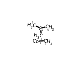 CP(C)C.[CH3][Co]